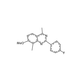 COc1ccc2c(C)nc(-c3ccc(F)cc3)nc2c1C